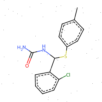 Cc1ccc(SC(NC(N)=O)c2ccccc2Cl)cc1